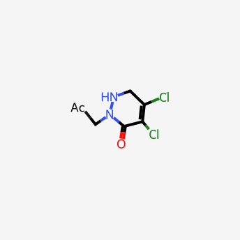 CC(=O)CN1NCC(Cl)=C(Cl)C1=O